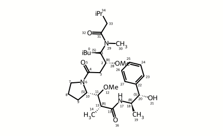 CC[C@H](C)C([C@@H](CC(=O)N1CCC[C@H]1C(OC)[C@@H](C)C(=O)N[C@H](C)[C@@H](O)c1ccccc1)OC)N(C)C(=O)CC(C)C